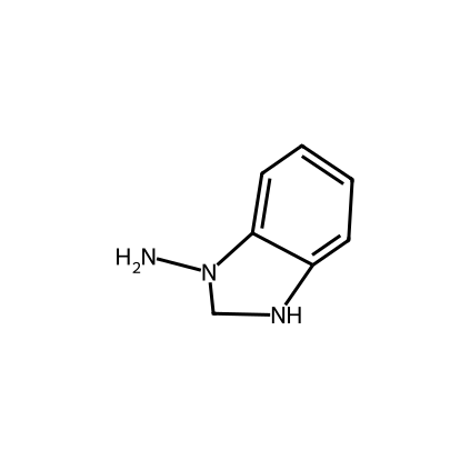 NN1CNc2ccccc21